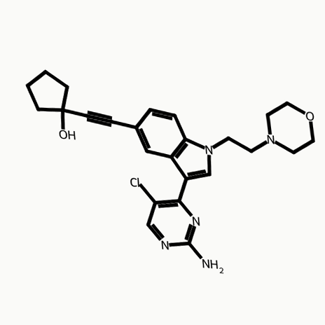 Nc1ncc(Cl)c(-c2cn(CCN3CCOCC3)c3ccc(C#CC4(O)CCCC4)cc23)n1